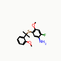 COc1cc(F)c(N)cc1SC(C)(C)c1ccccc1OC